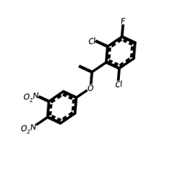 CC(Oc1ccc([N+](=O)[O-])c([N+](=O)[O-])c1)c1c(Cl)ccc(F)c1Cl